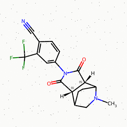 CN1CC2CCC1[C@H]1C(=O)N(c3ccc(C#N)c(C(F)(F)F)c3)C(=O)[C@@H]21